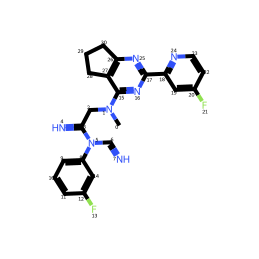 CN(CC(=N)N(C=N)c1cccc(F)c1)c1nc(-c2cc(F)ccn2)nc2c1CCC2